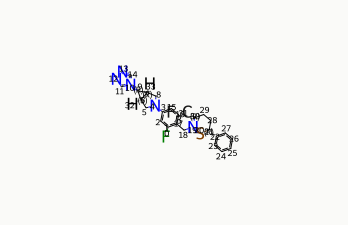 Fc1cc(N2C[C@@H]3[C@H](C2)[C@@H]3n2cnnc2)ccc1CN1S[C@@H](c2ccccc2)CC[C@@H]1C(F)(F)F